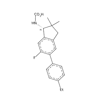 CCc1ccc(-c2cc3c(cc2F)[C@H](NC(=O)O)C(C)(C)C3)cc1